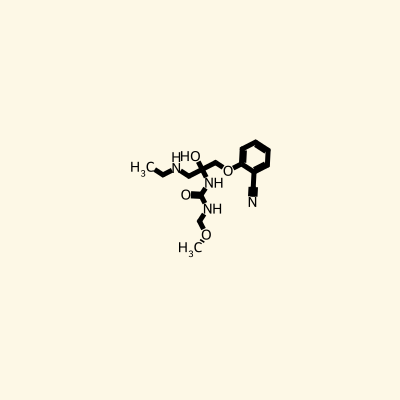 CCNCC(O)(COc1ccccc1C#N)NC(=O)NCOC